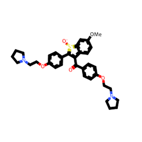 COc1ccc2c(C(=O)c3ccc(OCCN4CCCC4)cc3)c(-c3ccc(OCCN4CCCC4)cc3)[s+]([O-])c2c1